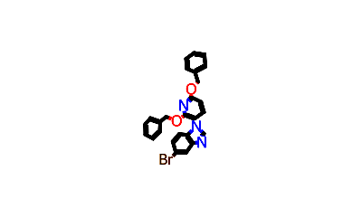 Brc1ccc2c(c1)ncn2-c1ccc(OCc2ccccc2)nc1OCc1ccccc1